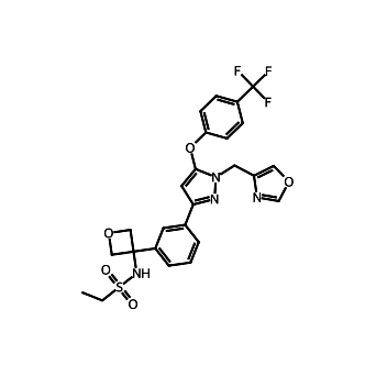 CCS(=O)(=O)NC1(c2cccc(-c3cc(Oc4ccc(C(F)(F)F)cc4)n(Cc4cocn4)n3)c2)COC1